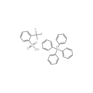 O=S(=O)(O)c1ccccc1C(F)(F)F.c1cc[c]([BiH]([c]2ccccc2)([c]2ccccc2)[c]2ccccc2)cc1